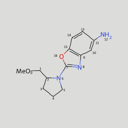 COCC1CCCN1c1nc2cc(N)ccc2o1